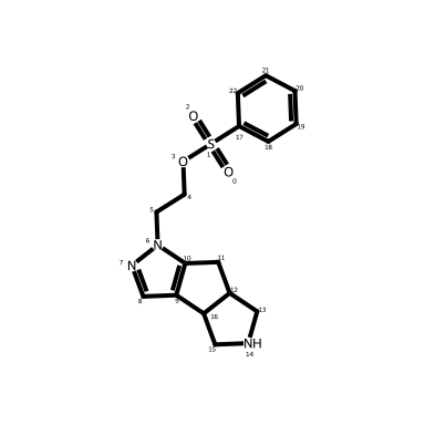 O=S(=O)(OCCn1ncc2c1CC1CNCC21)c1ccccc1